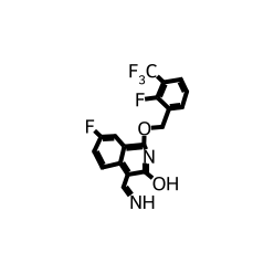 N=Cc1c(O)nc(OCc2cccc(C(F)(F)F)c2F)c2cc(F)ccc12